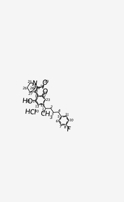 CC(CCCc1ccc(F)cc1)c1cc(O)c2c3c(c(=O)oc2c1)N1CCC3CC1.Cl